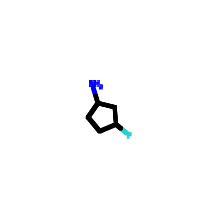 NC1CCC(F)C1